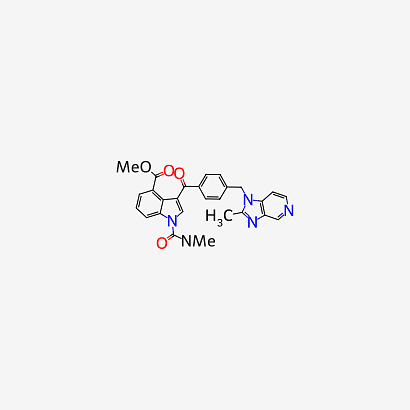 CNC(=O)n1cc(C(=O)c2ccc(Cn3c(C)nc4cnccc43)cc2)c2c(C(=O)OC)cccc21